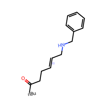 CCCCC(=O)CC/C=C/CNCc1ccccc1